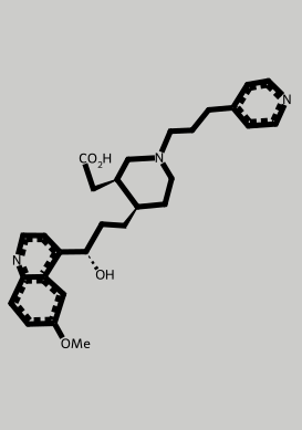 COc1ccc2nccc([C@@H](O)CC[C@@H]3CCN(CCCc4ccncc4)C[C@@H]3CC(=O)O)c2c1